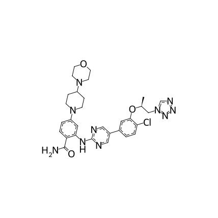 C[C@@H](Cn1cnnn1)Oc1cc(-c2cnc(Nc3cc(N4CCC(N5CCOCC5)CC4)ccc3C(N)=O)nc2)ccc1Cl